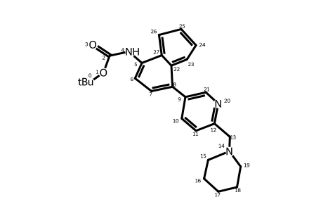 CC(C)(C)OC(=O)Nc1ccc(-c2ccc(CN3CCCCC3)nc2)c2ccccc12